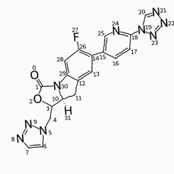 O=C1OC(Cn2ccnn2)[C@@H]2Cc3cc(-c4ccc(-n5cnnn5)nc4)c(F)cc3N12